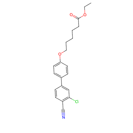 CCOC(=O)CCCCCOc1ccc(-c2ccc(C#N)c(Cl)c2)cc1